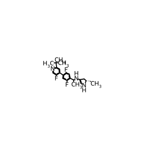 CC[C@H]1CC(NC(C)c2cc(F)c(-c3cc(C(C)(C)C)ncc3F)cc2F)=CN1